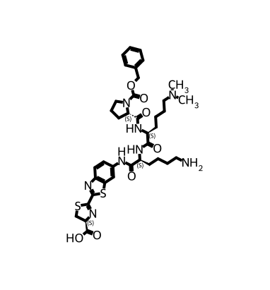 CN(C)CCCC[C@H](NC(=O)[C@@H]1CCCN1C(=O)OCc1ccccc1)C(=O)N[C@@H](CCCCN)C(=O)Nc1ccc2nc(C3=N[C@@H](C(=O)O)CS3)sc2c1